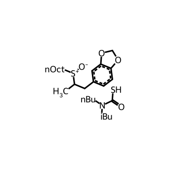 CCCCCCCC[S+]([O-])C(C)Cc1ccc2c(c1)OCO2.CCCCN(C(=O)S)C(C)CC